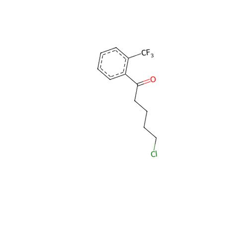 O=C(CCCCCl)c1ccccc1C(F)(F)F